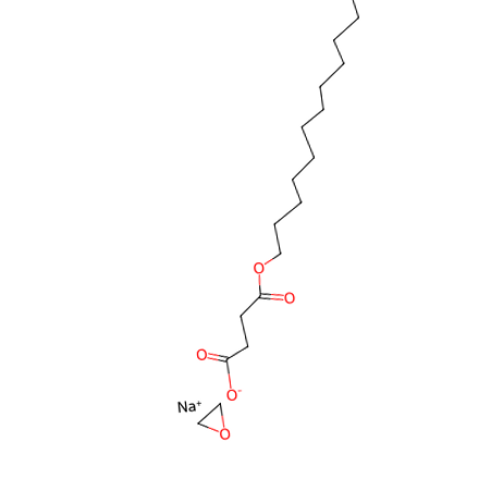 C1CO1.CCCCCCCCCCCCOC(=O)CCC(=O)[O-].[Na+]